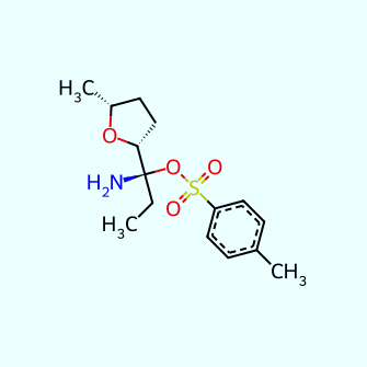 CC[C@@](N)(OS(=O)(=O)c1ccc(C)cc1)[C@H]1CC[C@@H](C)O1